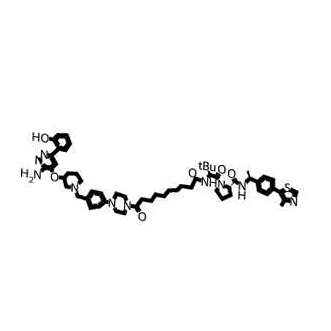 Cc1ncsc1-c1ccc([C@H](C)NC(=O)[C@@H]2CCCN2C(=O)[C@@H](NC(=O)CCCCCCCCC(=O)N2CCN(c3ccc(CN4CCCC(Oc5cc(-c6ccccc6O)nnc5N)C4)cc3)CC2)C(C)(C)C)cc1